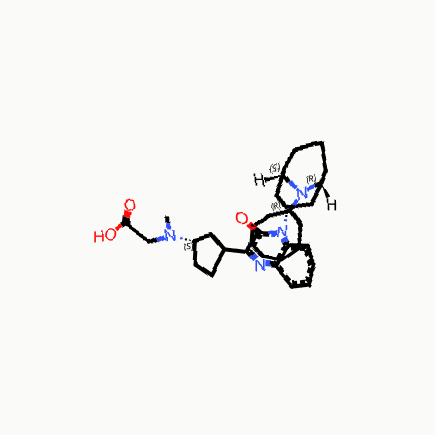 CN(CC(=O)O)[C@H]1CCC(c2nc3ccccc3n([C@H]3C[C@H]4CCC[C@@H](C3)N4C3CCCCCCC3)c2=O)C1